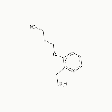 N#CCCCOc1ccccc1CC(=O)O